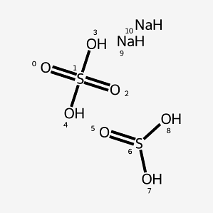 O=S(=O)(O)O.O=S(O)O.[NaH].[NaH]